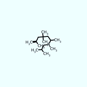 C=C(C)CC(C)(C)CC(C)N(C)CC(C)C